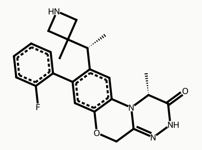 C[C@@H]1C(=O)NN=C2COc3cc(-c4ccccc4F)c([C@@H](C)C4(C)CNC4)cc3N21